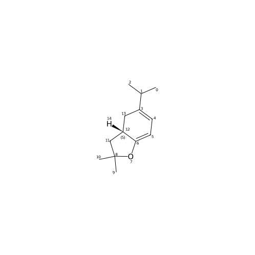 CC(C)C1=CC=C2OC(C)(C)C[C@@H]2C1